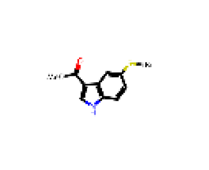 COC(=O)c1c[nH]c2ccc(SC(C)(C)C)cc12